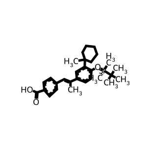 C/C(=C\c1ccc(C(=O)O)cc1)c1ccc(O[Si](C)(C)C(C)(C)C)c(C2(C)CCCCC2)c1